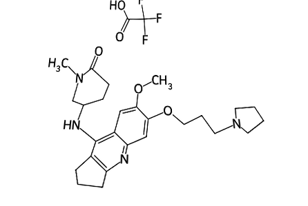 COc1cc2c(NC3CCC(=O)N(C)C3)c3c(nc2cc1OCCCN1CCCC1)CCC3.O=C(O)C(F)(F)F